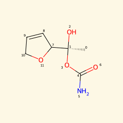 C[C@](O)(OC(N)=O)C1C=CCO1